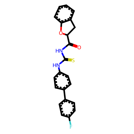 O=C(NC(=S)Nc1ccc(-c2ccc(F)cc2)cc1)C1Cc2ccccc2O1